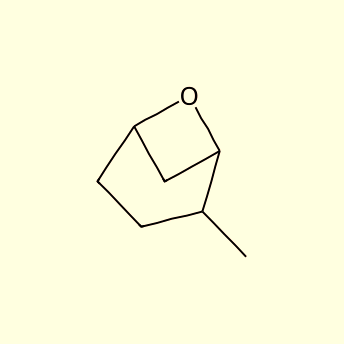 CC1CCC2CC1O2